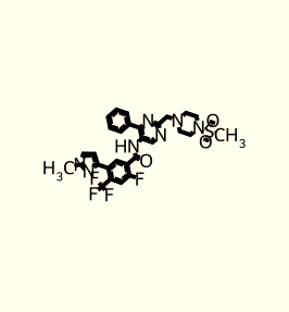 Cn1ccc(-c2cc(C(=O)Nc3cnc(CN4CCN(S(C)(=O)=O)CC4)nc3-c3ccccc3)c(F)cc2C(F)(F)F)n1